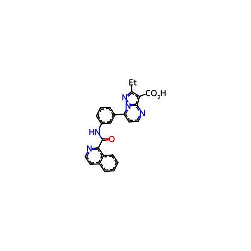 CCc1nn2c(-c3cccc(NC(=O)c4nccc5ccccc45)c3)ccnc2c1C(=O)O